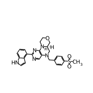 CS(=O)(=O)c1ccc(CN2C[C@@H]3COCCN3c3nc(-c4cccc5[nH]ccc45)ncc32)cc1